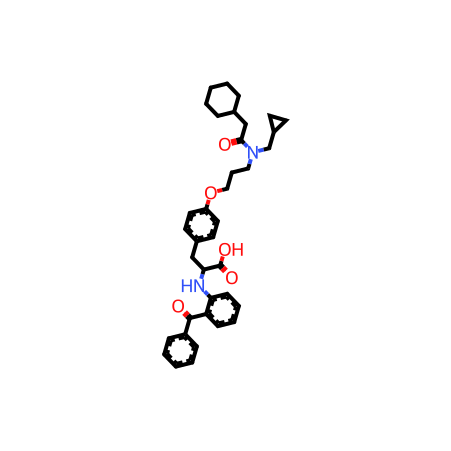 O=C(c1ccccc1)c1ccccc1NC(Cc1ccc(OCCCN(CC2CC2)C(=O)CC2CCCCC2)cc1)C(=O)O